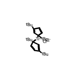 CC(C)(C)C1=C[C]([Ti+2][C]2(C(C)(C)C)C=CC(C(C)(C)C)=C2)(C(C)(C)C)C=C1.[Cl-].[Cl-]